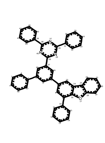 c1ccc(-c2cc(-c3cc(-c4ccccc4)c4oc5ccccc5c4c3)cc(-c3nc(-c4ccccc4)nc(-c4ccccc4)n3)c2)cc1